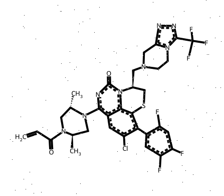 C=CC(=O)N1C[C@H](C)N(c2nc(=O)n3c4c(c(-c5cc(F)c(F)cc5F)c(Cl)cc24)SC[C@@H]3CN2CCn3c(nnc3C(F)(F)F)C2)C[C@H]1C